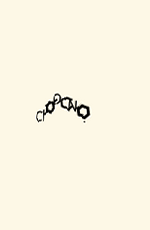 Clc1ccc(OC2CCN(c3c[c]ccc3)CC2)cc1